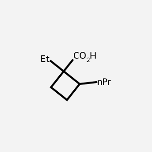 CCCC1CCC1(CC)C(=O)O